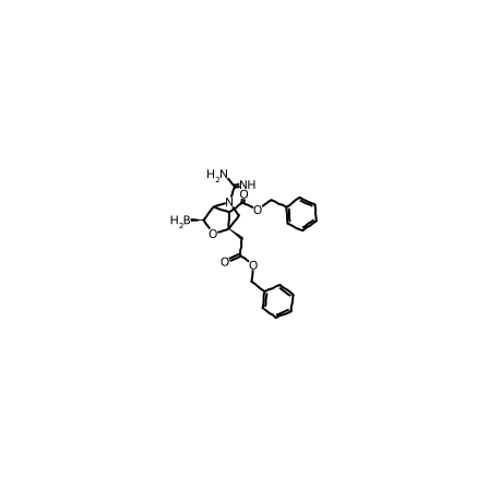 B[C@@H]1O[C@@]2(CC(=O)OCc3ccccc3)CN(C(=N)N)C1C2C(=O)OCc1ccccc1